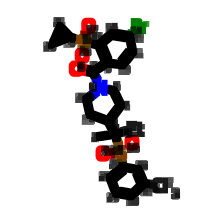 CCC(C)(C1CCN(C(=O)c2ccc(Br)cc2S(=O)(=O)C2CC2)CC1)S(=O)(=O)c1cccc(C(F)(F)F)c1